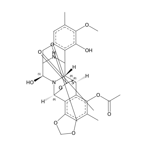 COc1c(C)cc2c(c1O)C1NC(C2)[C@H](O)N2[C@H]1[C@@H]1SCC(=O)C(=O)OC[C@H]2c2c3c(c(C)c(OC(C)=O)c21)OCO3